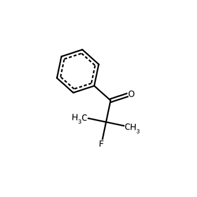 CC(C)(F)C(=O)c1ccccc1